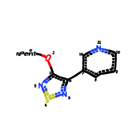 CCCCCOc1nsnc1-c1cccnc1